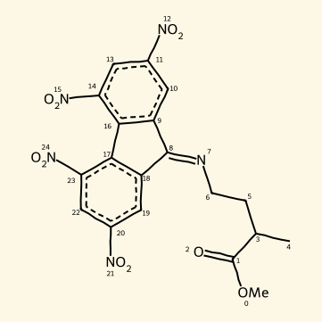 COC(=O)C(C)CCN=C1c2cc([N+](=O)[O-])cc([N+](=O)[O-])c2-c2c1cc([N+](=O)[O-])cc2[N+](=O)[O-]